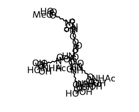 COP(=O)(O)OCCCCCCCN1Cc2ccccc2-c2c(nnn2CCOCCOCC(=O)N2CCC(C(=O)NC(COCCC(=O)NCCCCCCOC3OC(CO)C(O)C(O)C3NC(C)=O)(COCCC(=O)NCCCCCCOC3OC(CO)C(O)C(O)C3NC(C)=O)COCCC(=O)NCCCCCCOC3OC(CO)C(O)C(O)C3NC(C)=O)CC2)-c2ccccc21